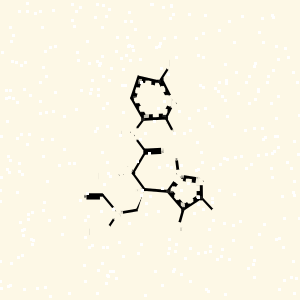 C[C@H](C(=O)Nc1ccc(F)nc1F)[C@H](CN(C)C=O)c1c(Br)c(Cl)nn1C